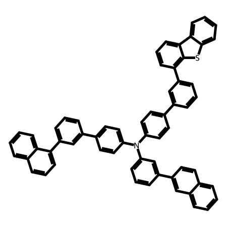 c1cc(-c2ccc(N(c3ccc(-c4cccc(-c5cccc6c5sc5ccccc56)c4)cc3)c3cccc(-c4ccc5ccccc5c4)c3)cc2)cc(-c2cccc3ccccc23)c1